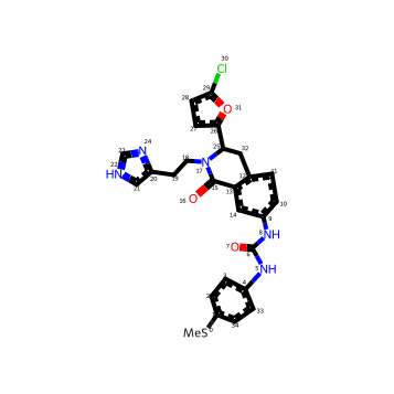 CSc1ccc(NC(=O)Nc2ccc3c(c2)C(=O)N(CCc2c[nH]cn2)C(c2ccc(Cl)o2)C3)cc1